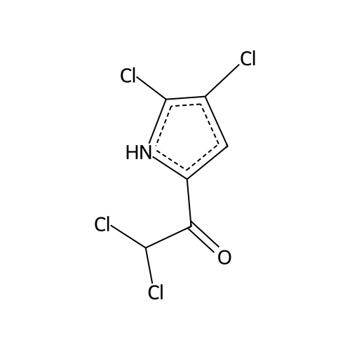 O=C(c1cc(Cl)c(Cl)[nH]1)C(Cl)Cl